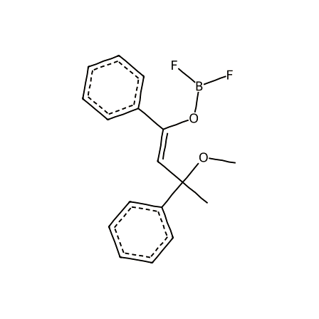 COC(C)(/C=C(\OB(F)F)c1ccccc1)c1ccccc1